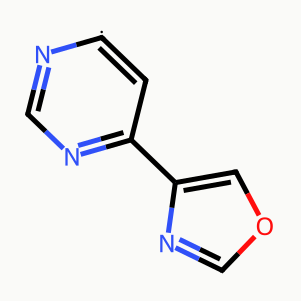 [c]1cc(-c2cocn2)ncn1